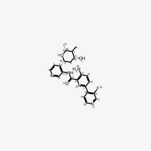 CC1[C@H](O)C[C@H](c2ccncc2NC(=O)c2nc(-c3ccncc3F)ccc2N)O[C@@H]1C